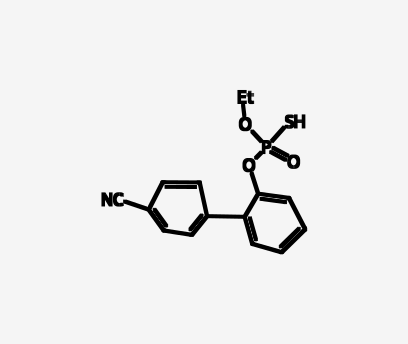 CCOP(=O)(S)Oc1ccccc1-c1ccc(C#N)cc1